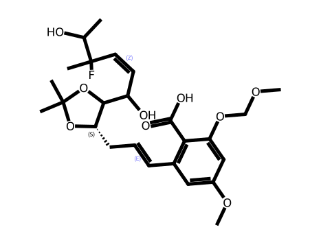 COCOc1cc(OC)cc(/C=C/C[C@@H]2OC(C)(C)OC2C(O)/C=C\C(C)(F)C(C)O)c1C(=O)O